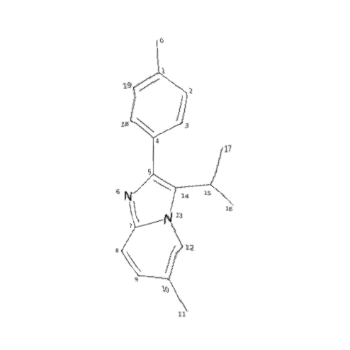 Cc1ccc(-c2nc3ccc(C)cn3c2C(C)C)cc1